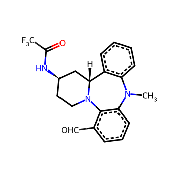 CN1c2ccccc2[C@H]2C[C@H](NC(=O)C(F)(F)F)CCN2c2c(C=O)cccc21